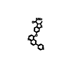 CNC(=O)C1c2ccc(Oc3ccnc4ccc(-c5ccncc5)cc34)cc2SC1C